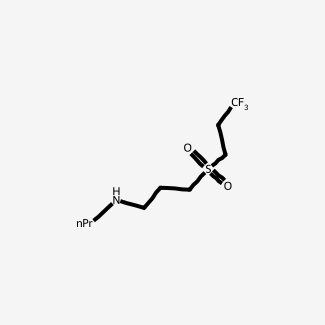 CCCNCCCS(=O)(=O)CCC(F)(F)F